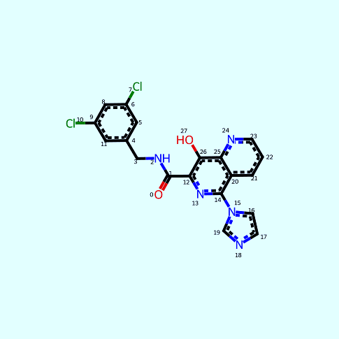 O=C(NCc1cc(Cl)cc(Cl)c1)c1nc(-n2ccnc2)c2cccnc2c1O